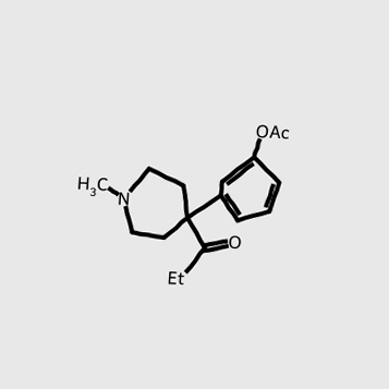 CCC(=O)C1(c2cccc(OC(C)=O)c2)CCN(C)CC1